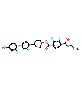 CCCC(O)c1ccc(C(=O)OC2CCC(c3ccc(-c4ccc(O)c(F)c4F)c(F)c3F)CC2)c(F)c1F